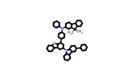 CC1(C)c2ccccc2-c2ccc(N(c3ccccc3)c3ccc(-c4cc(-n5c6ccccc6c6cc(-c7ccccc7)ccc65)cc5c4sc4ccccc45)cc3)cc21